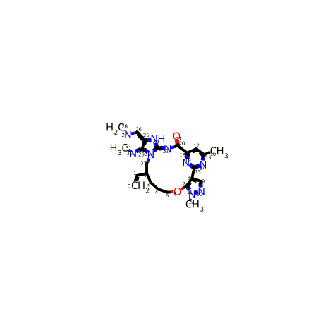 C=CC1CCCOc2c(cnn2C)-c2nc(C)cc(n2)C(=O)/N=c2\[nH]c(=C/N=C)/c(=N\C)n2C1